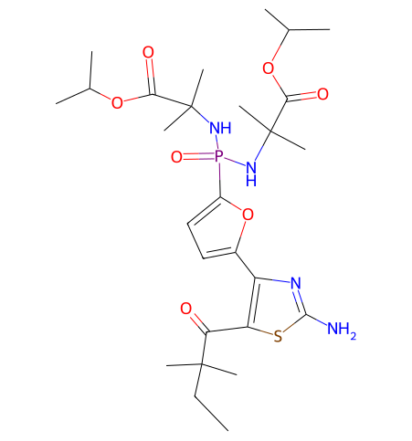 CCC(C)(C)C(=O)c1sc(N)nc1-c1ccc(P(=O)(NC(C)(C)C(=O)OC(C)C)NC(C)(C)C(=O)OC(C)C)o1